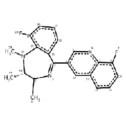 CC1N=C(c2cnc3c(F)cccc3c2)c2cccc(F)c2N(C)[C@H]1C